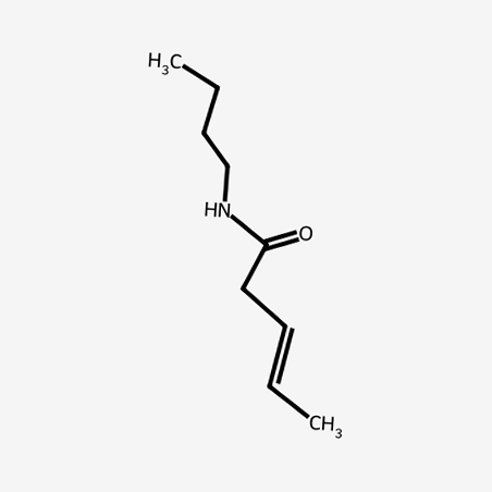 CC=CCC(=O)NCCCC